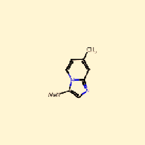 CNc1cnc2cc(C)ccn12